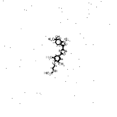 CCn1nc(-c2noc(-c3cc(C)c(OCCNC(=O)O)c(C)c3)n2)c2c1CC(C)(C)CC2